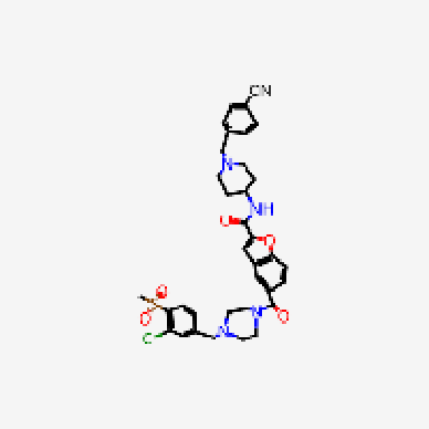 CS(=O)(=O)c1ccc(CN2CCN(C(=O)c3ccc4oc(C(=O)NC5CCN(Cc6ccc(C#N)cc6)CC5)cc4c3)CC2)cc1Cl